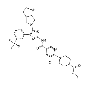 CCOC(=O)C1CCN(c2ncc(C(=O)Nc3nc(-c4cccc(C(F)(F)F)c4)c(N4CC5CCNC5C4)s3)cc2Cl)CC1